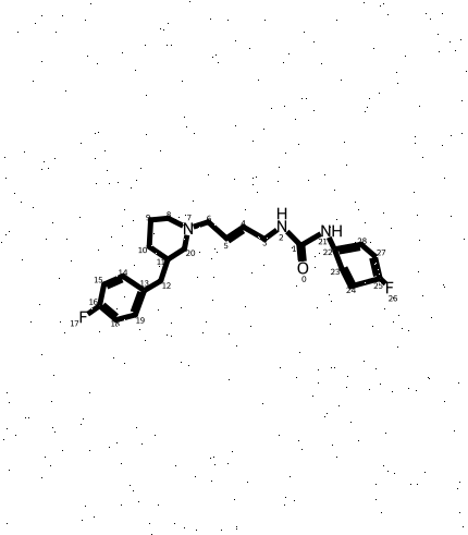 O=C(NCC=CCN1CCCC(Cc2ccc(F)cc2)C1)Nc1ccc(F)cc1